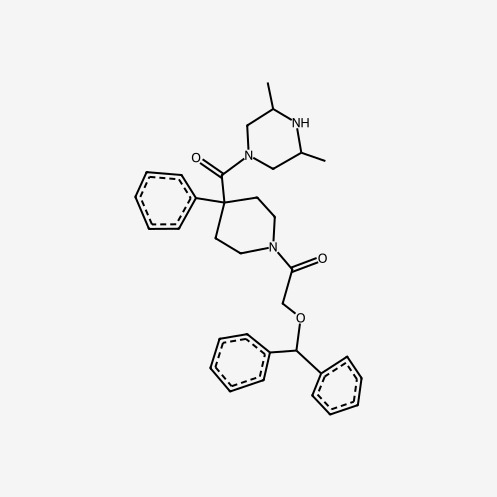 CC1CN(C(=O)C2(c3ccccc3)CCN(C(=O)COC(c3ccccc3)c3ccccc3)CC2)CC(C)N1